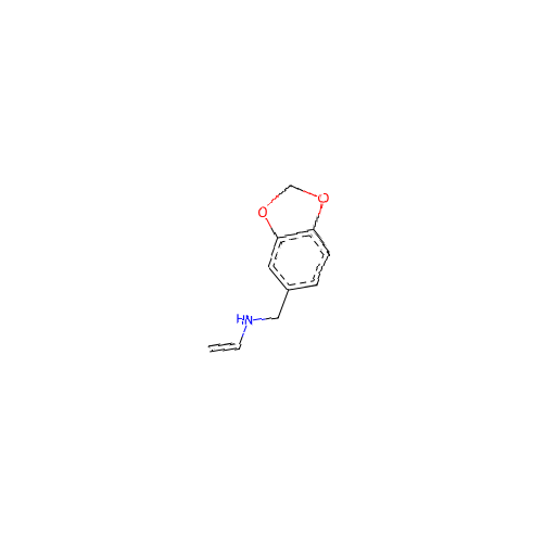 C=CNCc1ccc2c(c1)OCO2